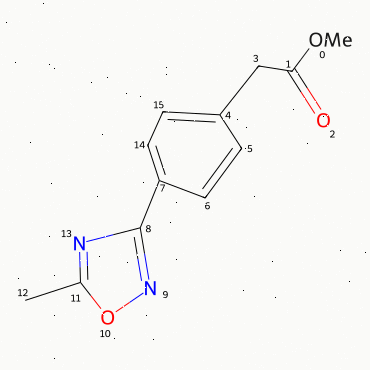 COC(=O)Cc1ccc(-c2noc(C)n2)cc1